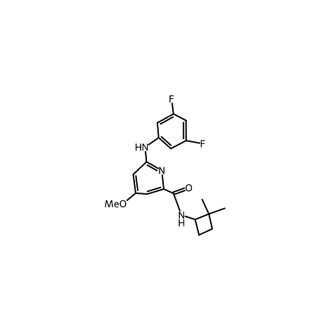 COc1cc(Nc2cc(F)cc(F)c2)nc(C(=O)NC2CCC2(C)C)c1